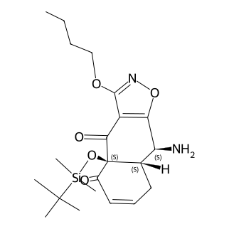 CCCCOc1noc2c1C(=O)[C@@]1(O[Si](C)(C)C(C)(C)C)C(=O)C=CC[C@H]1[C@@H]2N